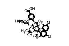 COc1cc(C(=O)O)ccc1N1C(=O)[C@H]2[C@H](c3cccc(Cl)c3F)[C@@](C#N)(c3ccc(Cl)cc3F)[C@H](CC(C)(C)C)N2[C@@H]1CCCCO